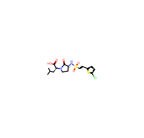 CC(C)C[C@@H](C(=O)O)N1CC[C@H](NS(=O)(=O)/C=C/c2ccc(Cl)s2)C1=O